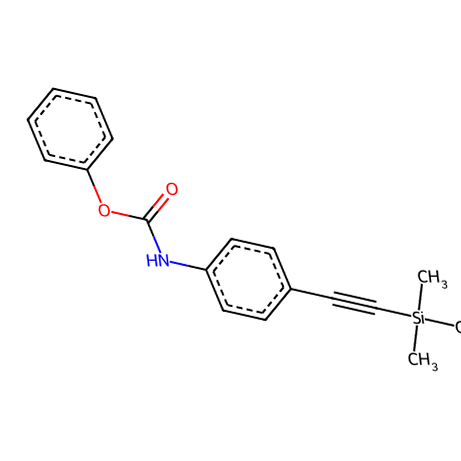 C[Si](C)(C)C#Cc1ccc(NC(=O)Oc2ccccc2)cc1